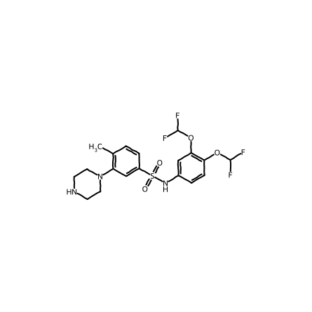 Cc1ccc(S(=O)(=O)Nc2ccc(OC(F)F)c(OC(F)F)c2)cc1N1CCNCC1